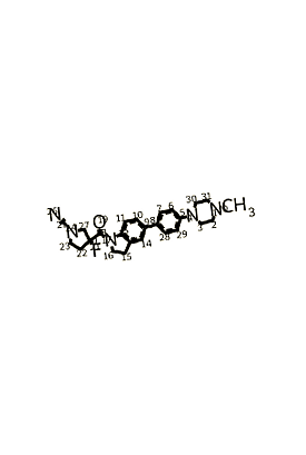 CN1CCN(c2ccc(-c3ccc4c(c3)CCN4C(=O)C3(F)CCN(C#N)C3)cc2)CC1